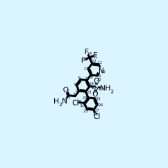 NC(=O)Cc1ccc(-c2cncc(C(F)(F)F)c2)c(S(N)(=O)=O)c1-c1ccc(Cl)cc1Cl